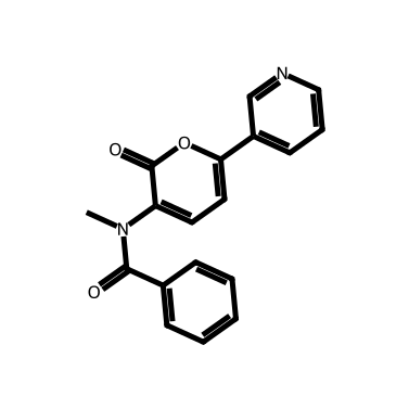 CN(C(=O)c1ccccc1)c1ccc(-c2cccnc2)oc1=O